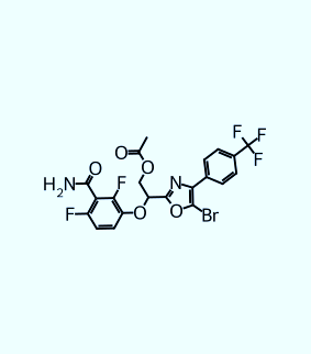 CC(=O)OCC(Oc1ccc(F)c(C(N)=O)c1F)c1nc(-c2ccc(C(F)(F)F)cc2)c(Br)o1